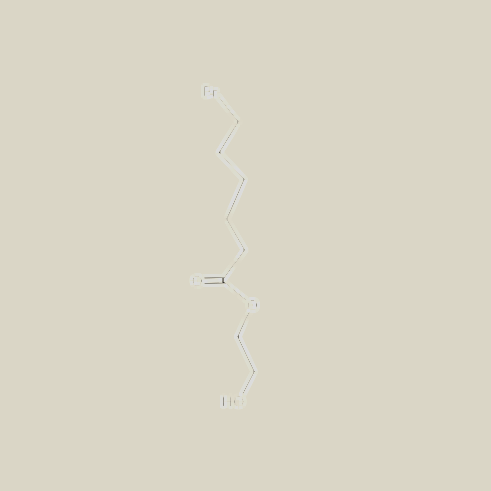 O=C(CCCCCBr)OCCO